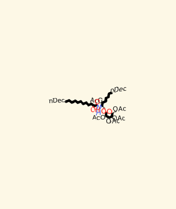 CCCCCCCCCCCCC/C=C/[C@@H](OC(C)=O)[C@H](CO[C@@H]1O[C@H](COC(C)=O)[C@H](OC(C)=O)C(OC(C)=O)C1OC(C)=O)NC(=O)C(O)CCCCCCCCCCCCCCCCCCCC